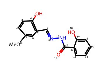 COc1ccc(O)c(C=NNC(=O)c2ccccc2O)c1